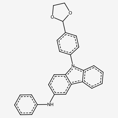 c1ccc(Nc2ccc3c(c2)c2ccccc2n3-c2ccc(C3OCCO3)cc2)cc1